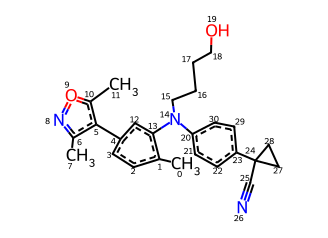 Cc1ccc(-c2c(C)noc2C)cc1N(CCCCO)c1ccc(C2(C#N)CC2)cc1